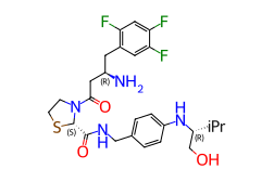 CC(C)[C@H](CO)Nc1ccc(CNC(=O)[C@@H]2SCCN2C(=O)C[C@H](N)Cc2cc(F)c(F)cc2F)cc1